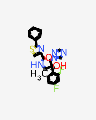 C[C@@H](NC(=O)c1csc(-c2ccccc2)n1)[C@](O)(Cn1cncn1)c1ccc(F)cc1F